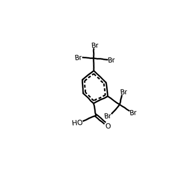 O=C(O)c1ccc(C(Br)(Br)Br)cc1C(Br)(Br)Br